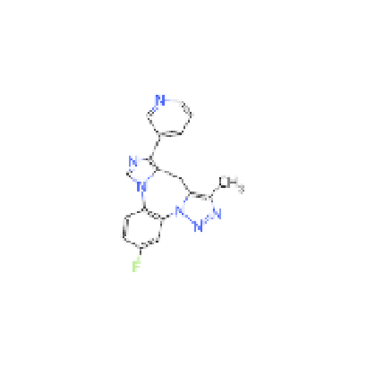 Cc1nnn2c1Cc1c(-c3cccnc3)ncn1-c1ccc(F)cc1-2